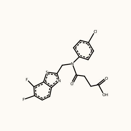 O=C(O)CCC(=O)N(Cc1nc2ccc(F)c(F)c2s1)c1ccc(Cl)cc1